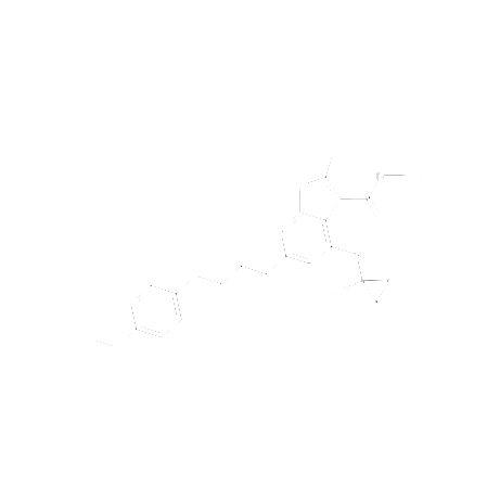 CNC(=O)c1c(C)oc2nc(CCCOc3ccc(OC)cc3)nc(NC3(C)CC3)c12